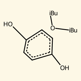 CCC(C)OC(C)CC.Oc1ccc(O)cc1